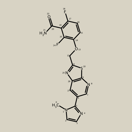 Cn1ccnc1-c1cnc2sc(COc3ccc(F)c(C(N)=O)c3F)nc2c1